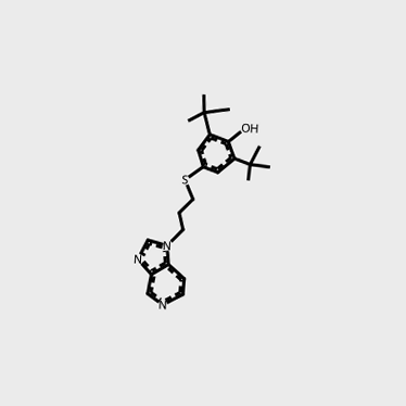 CC(C)(C)c1cc(SCCCn2cnc3cnccc32)cc(C(C)(C)C)c1O